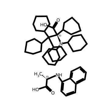 C[C@H](Nc1cccc2ccccc12)C(=O)O.O=C(O)[C@@](C1CCCCC1)(N(C1CCCCC1)C1CCCCC1)C(C1CCCCC1)(C1CCCCC1)C1CCCCC1